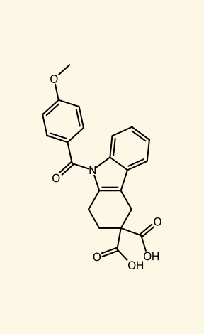 COc1ccc(C(=O)n2c3c(c4ccccc42)CC(C(=O)O)(C(=O)O)CC3)cc1